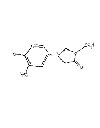 O=C(O)N1C[C@@H](c2ccc(Cl)c(O)c2)CC1=O